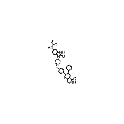 C=CC(=O)Nc1ccc2c(c1)[nH]c(=O)n2C1CCN(Cc2ccc(-c3nc4cc[nH]c(=O)c4cc3-c3ccccc3)cc2)CC1